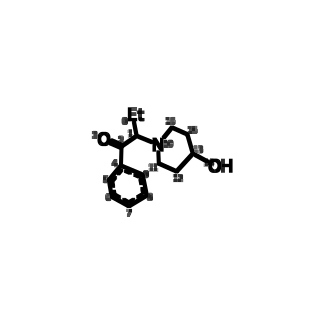 CCC(C(=O)c1ccccc1)N1CCC(O)CC1